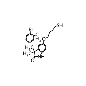 CC1(C)C(=O)Nc2ccc(OCCCCS)cc21.Cc1ccccc1Br